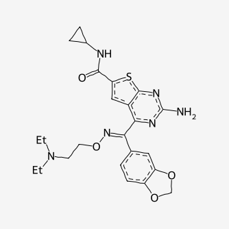 CCN(CC)CCON=C(c1ccc2c(c1)OCO2)c1nc(N)nc2sc(C(=O)NC3CC3)cc12